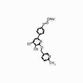 CCc1cc(-c2ccc(SOOC)cc2)nc(OCc2ccc(C)nc2)c1C#N